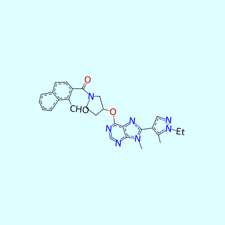 CCn1ncc(-c2nc3c(OC4CCN(C(=O)c5ccc6ccccc6c5C=O)C4)ncnc3n2C)c1C